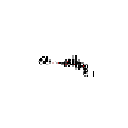 O=CC(NCCOCCO)OCCOCCNCCC[C@H](NC(=O)CCCCCCCCCCCCCCCOc1cccc(C(=O)O)c1)C(=O)O